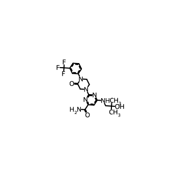 CC(C)(O)CNc1cc(C(N)=O)nc(N2CCN(c3cccc(C(F)(F)F)c3)C(=O)C2)n1